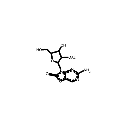 CC(=O)OC1C(O)C(CO)OC1n1c(=O)sc2cnc(N)nc21